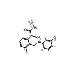 Cc1cccc(N(N)C(=O)NN)c1COc1ncnc(Cl)n1